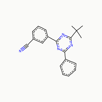 CC(C)(C)c1nc(-c2ccccc2)nc(-c2cccc(C#N)c2)n1